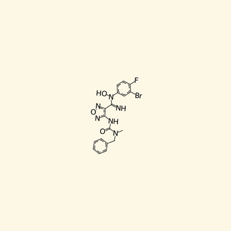 CN(Cc1ccccc1)C(=O)Nc1nonc1C(=N)N(O)c1ccc(F)c(Br)c1